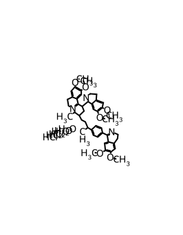 CCC(CCC(C)c1ccc(C2=NCCc3cc(OC)c(OC)cc32)cc1)CC(C1=NCCc2cc(OC)c(OC)cc21)C1=NCCc2cc(OC)c(OC)cc21.Cl.Cl.Cl.O.O.O